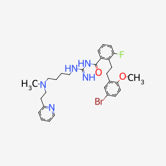 COc1ccc(Br)cc1CCc1c(F)cccc1C(=O)NC(=N)NCCCCN(C)CCc1ccccn1